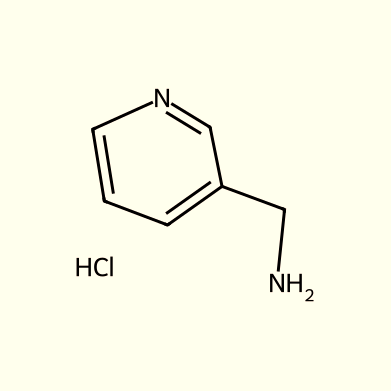 Cl.NCc1cccnc1